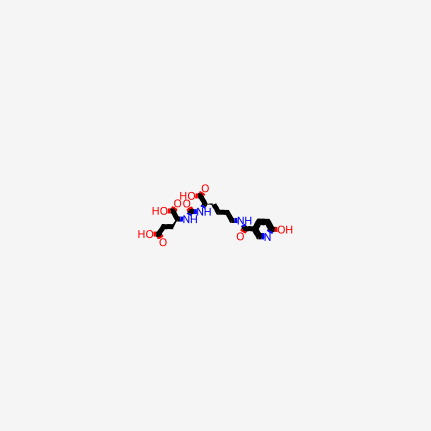 O=C(O)CC[C@H](NC(=O)N[C@@H](CCCCNC(=O)c1ccc(O)nc1)C(=O)O)C(=O)O